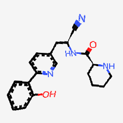 N#C[C@H](Cc1ccc(-c2ccccc2O)nc1)NC(=O)[C@@H]1CCCCN1